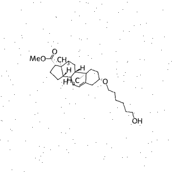 COC(=O)[C@H]1CC[C@H]2[C@@H]3CC=C4C[C@@H](OCCCCCCO)CC[C@]4(C)[C@H]3CC[C@]12C